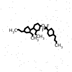 CCCCC1CCC(C(F)(F)OC2CCC(C3CCC(CCC)CC3CC)C(CC)C2)CC1